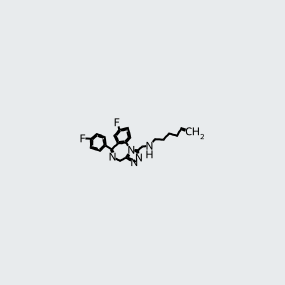 C=CCCCCNCc1nnc2n1-c1ccc(F)cc1C(c1ccc(F)cc1)=NC2